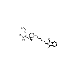 [C-]#[N+]CCOP(OC1(CCC)CCCN(CCCCCCN2C(=O)c3ccccc3C2=O)C1)N(C(C)C)C(C)C